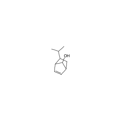 CC(C)C1CC2C=CC1C2O